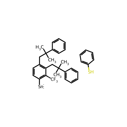 CC(C)(Cc1cc[c]([Sn])c(C(F)(F)F)c1CC(C)(C)c1ccccc1)c1ccccc1.Sc1ccccc1